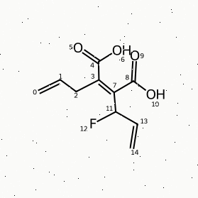 C=CCC(C(=O)O)=C(C(=O)O)C(F)C=C